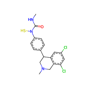 CNC(=O)N(S)c1ccc(C2CN(C)Cc3c(Cl)cc(Cl)cc32)cc1